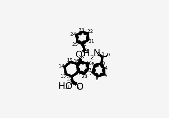 C[C@H](N)c1ccccc1.O=C(O)C1CCCc2c(OCc3ccccc3)cccc21